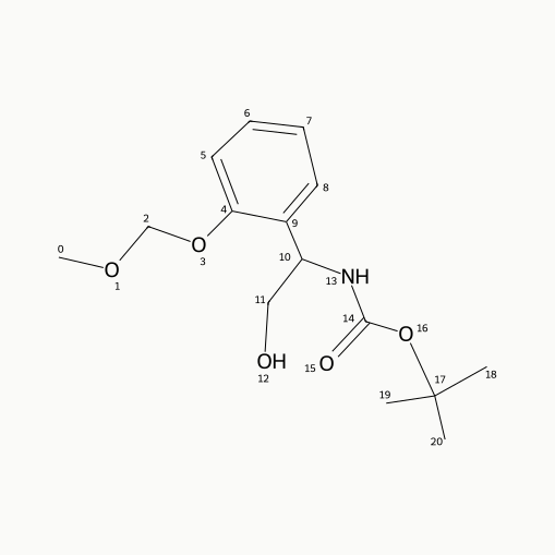 COCOc1ccccc1C(CO)NC(=O)OC(C)(C)C